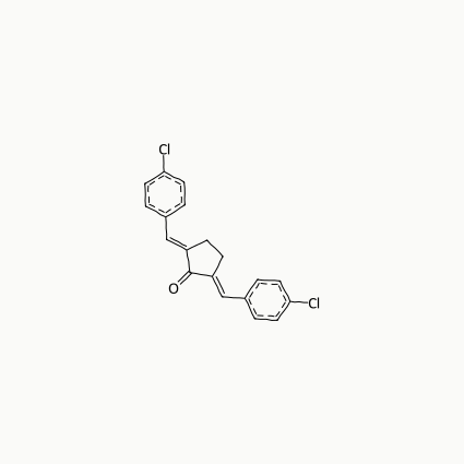 O=C1C(=Cc2ccc(Cl)cc2)CCC1=Cc1ccc(Cl)cc1